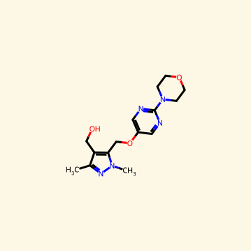 Cc1nn(C)c(COc2cnc(N3CCOCC3)nc2)c1CO